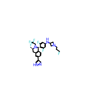 C[C@@H]1Cc2cc(-c3cn[nH]c3)ccc2[C@@H](c2c(F)cc(NC3CN(CCCF)C3)cc2F)N1CC(F)(F)F